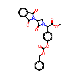 COC(=O)C(c1ccc(OC(=O)OCc2ccccc2)cc1)N1CC(N2C(=O)c3ccccc3C2=O)C1=O